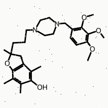 COc1ccc(CN2CCN(CCCC3(C)Cc4c(C)c(O)c(C)c(C)c4O3)CC2)c(OC)c1OC